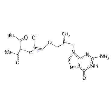 C=C(CO/C=[P+](\[O-])OC(C(=O)C(C)(C)C)C(=O)C(C)(C)C)Cn1cnc2c(=O)[nH]c(N)nc21